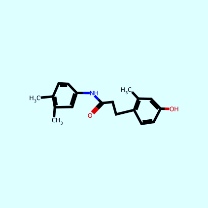 Cc1ccc(NC(=O)CCc2ccc(O)cc2C)cc1C